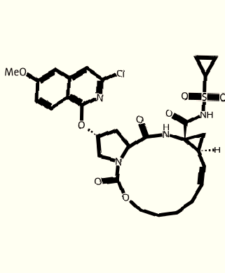 COc1ccc2c(O[C@@H]3CC4C(=O)N[C@]5(C(=O)NS(=O)(=O)C6CC6)C[C@H]5/C=C\CCCCOC(=O)N4C3)nc(Cl)cc2c1